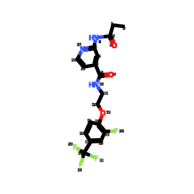 CCC(=O)Nc1cc(C(=O)NCCOc2ccc(C(F)(F)F)cc2F)ccn1